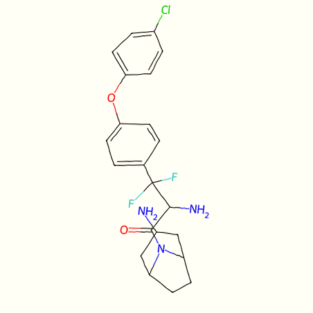 NC1CC2CCC(C1)N2C(=O)C(N)C(F)(F)c1ccc(Oc2ccc(Cl)cc2)cc1